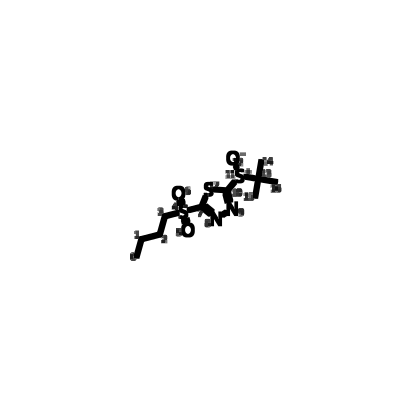 CCCCS(=O)(=O)c1nnc([S+]([O-])C(C)(C)C)s1